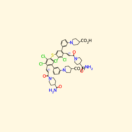 NC(=O)C1CCN(C(=O)/C=C/c2c(-c3cccc(N4CCC(C(=O)O)CC4)c3)cc(Sc3cc(-c4cccc(N5CCC(C(=O)O)CC5)c4)c(/C=C/C(=O)N4CCC(C(N)=O)CC4)c(Cl)c3Cl)c(Cl)c2Cl)CC1